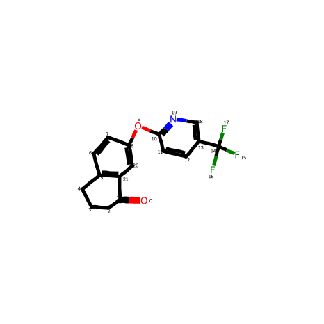 O=C1CCCc2ccc(Oc3ccc(C(F)(F)F)cn3)cc21